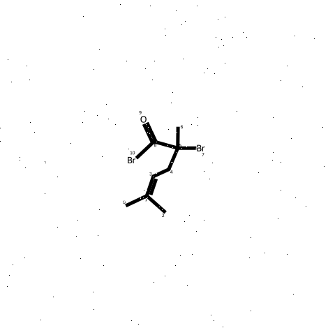 CC(C)=CCC(C)(Br)C(=O)Br